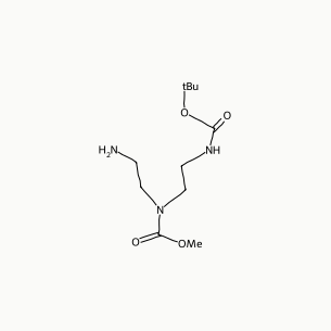 COC(=O)N(CCN)CCNC(=O)OC(C)(C)C